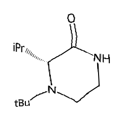 CC(C)[C@@H]1C(=O)NCCN1C(C)(C)C